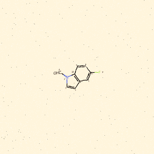 O=Cn1ccc2cc(F)ccc21